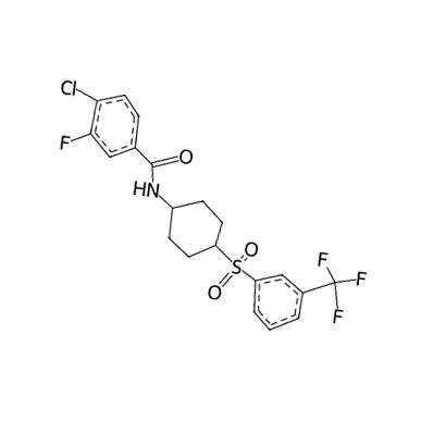 O=C(NC1CCC(S(=O)(=O)c2cccc(C(F)(F)F)c2)CC1)c1ccc(Cl)c(F)c1